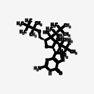 CC(C)(C)[Si](C)(C)OC[C@H]1O[C@@H](n2cnc3c(=O)[nH]c(N)nc32)[C@@](O)([Si](C)(C)C(C)(C)C)[C@@]1(O)[Si](C)(C)C(C)(C)C